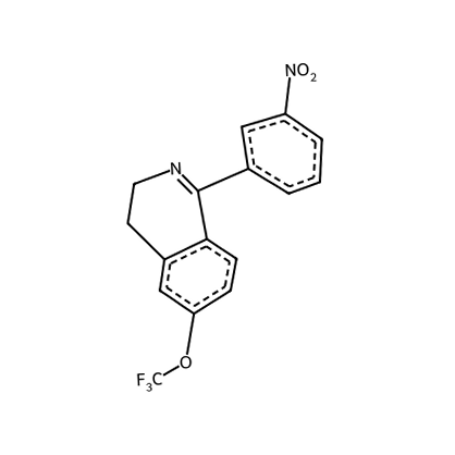 O=[N+]([O-])c1cccc(C2=NCCc3cc(OC(F)(F)F)ccc32)c1